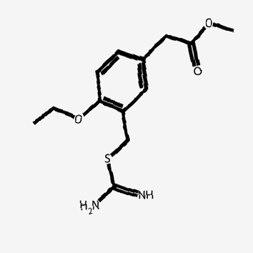 CCOc1ccc(CC(=O)OC)cc1CSC(=N)N